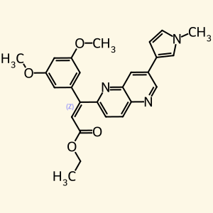 CCOC(=O)/C=C(/c1cc(OC)cc(OC)c1)c1ccc2ncc(-c3ccn(C)c3)cc2n1